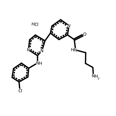 Cl.NCCCNC(=O)c1cc(-c2ccnc(Nc3cccc(Cl)c3)n2)ccn1